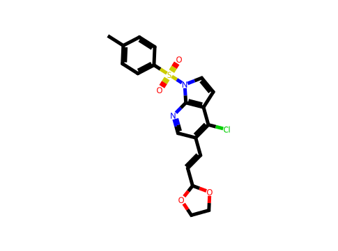 Cc1ccc(S(=O)(=O)n2ccc3c(Cl)c(C=CC4OCCO4)cnc32)cc1